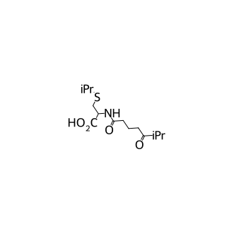 CC(C)SCC(NC(=O)CCCC(=O)C(C)C)C(=O)O